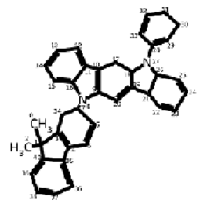 CC1(C)C2=C(C=CC(n3c4c(c5ccccc53)CC3C(=C4)C4C=CC=CC4N3C3=CCCC=C3)C2)c2ccccc21